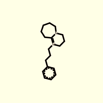 c1ccc(CCC[N+]2=C3CCCCCN3CCC2)cc1